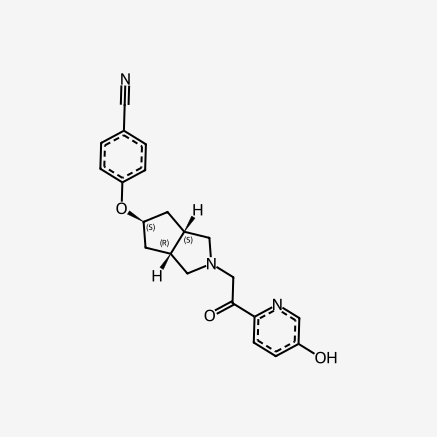 N#Cc1ccc(O[C@H]2C[C@@H]3CN(CC(=O)c4ccc(O)cn4)C[C@@H]3C2)cc1